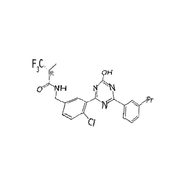 CC(C)c1cccc(-c2nc(O)nc(-c3cc(CNC(=O)[C@@H](C)C(F)(F)F)ccc3Cl)n2)c1